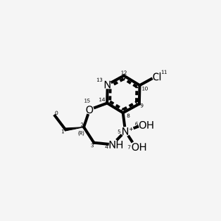 CC[C@@H]1CN[N+](O)(O)c2cc(Cl)cnc2O1